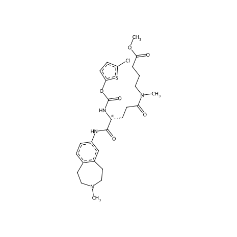 COC(=O)CCCN(C)C(=O)CC[C@@H](NC(=O)Oc1ccc(Cl)s1)C(=O)Nc1ccc2c(c1)CCN(C)CC2